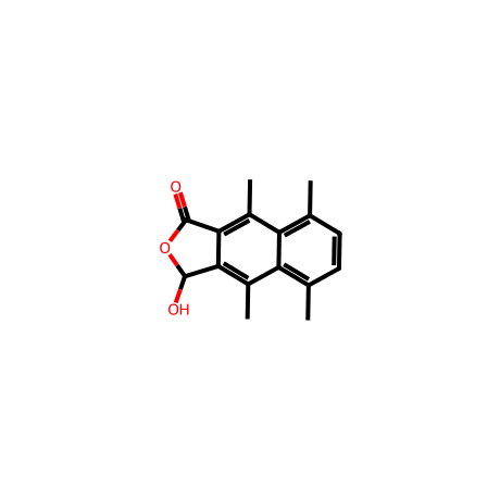 Cc1ccc(C)c2c(C)c3c(c(C)c12)C(=O)OC3O